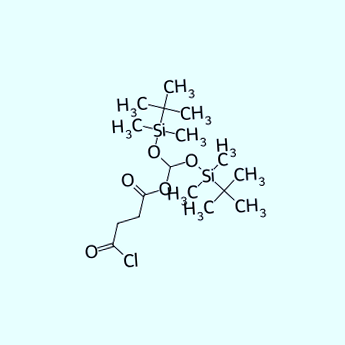 CC(C)(C)[Si](C)(C)OC(OC(=O)CCC(=O)Cl)O[Si](C)(C)C(C)(C)C